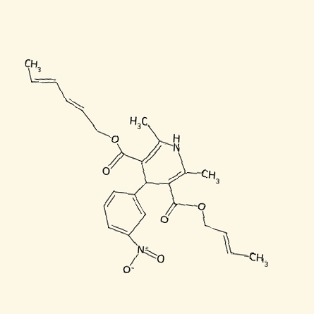 CC=CC=CCOC(=O)C1=C(C)NC(C)=C(C(=O)OCC=CC)C1c1cccc([N+](=O)[O-])c1